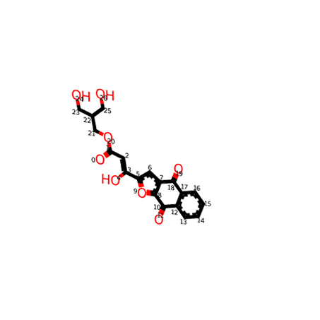 O=C(/C=C(\O)c1cc2c(o1)C(=O)c1ccccc1C2=O)OCC(CO)CO